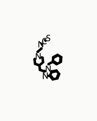 S=C=NCCN1CCC(Cc2nc3ccccc3n2Cc2ccccc2)CC1